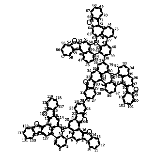 c1cc2c3c(c1)-c1cc4c5ccccc5oc4c4c1c(cc1c5ccc(-c6ccc7c(c6)oc6cc8cc(-c9ccc%10c%11c9-c9cccc%12c9c(cc9oc%13ccccc%13c9%12)B%11c9cc%11oc%12ccccc%12c%11c%11cccc-%10c9%11)cc9c8c(c67)-c6cccc7c6B9c6cccc8cc9oc%10ccccc%10c9c-7c68)cc5oc14)B3c1cc3c4ccccc4oc3c3c1c-2cc1c2ccccc2oc13